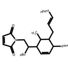 CCCCC/C=C/CC1C(CCCCCC)C=CC(C(CCCC)CN2C(=O)C=CC2=O)C1C